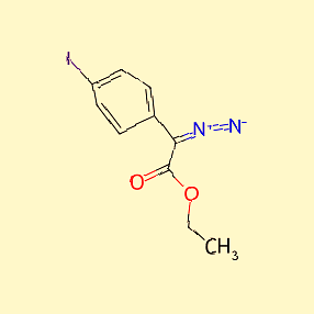 CCOC(=O)C(=[N+]=[N-])c1ccc(I)cc1